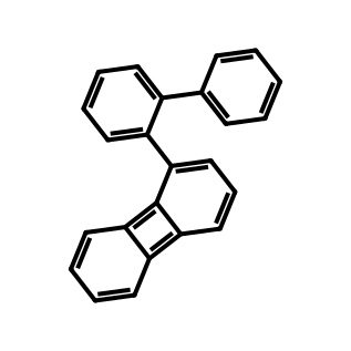 c1ccc(-c2ccccc2-c2cccc3c2=c2ccccc2=3)cc1